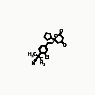 CC(C)(C#N)c1ccc(CC[C@@]2(C3CCCC3)CC(=O)CC(=O)O2)cc1Cl